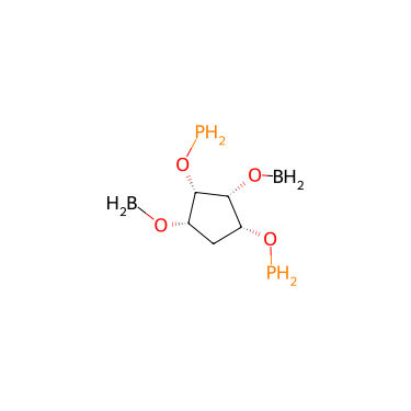 BO[C@H]1[C@@H](OP)[C@@H](OB)C[C@H]1OP